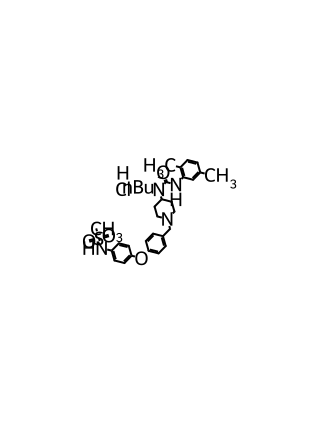 CCCCN(C(=O)Nc1cc(C)ccc1C)C1CCN(Cc2ccc(Oc3ccc(NS(C)(=O)=O)cc3)cc2)CC1.Cl